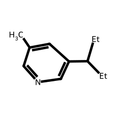 CCC(CC)c1cncc(C)c1